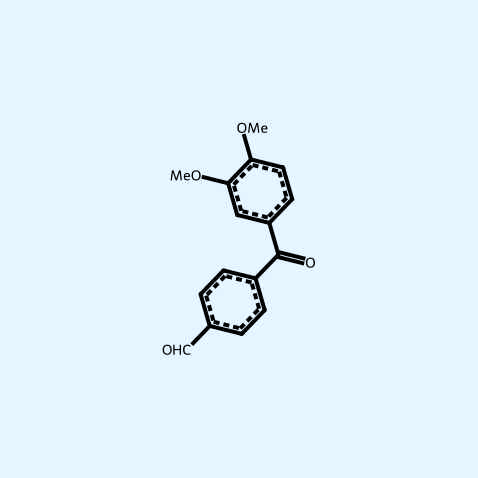 COc1ccc(C(=O)c2ccc(C=O)cc2)cc1OC